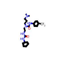 CN(C)CCCN(CCNC(=O)Nc1ccccc1)C(=O)Nc1ccc(C(F)(F)F)cc1